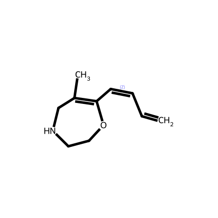 C=C/C=C\C1=C(C)CNCCO1